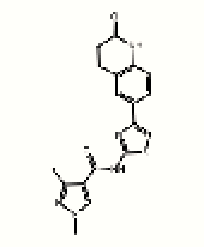 Cc1nn(C)cc1C(=O)Nc1nc(-c2ccc3c(c2)CCC(=O)N3)cs1